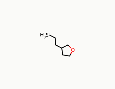 [SiH3]CCC1CCOC1